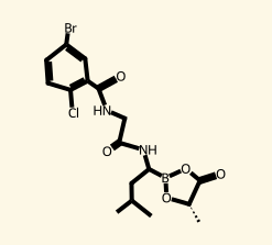 CC(C)CC(NC(=O)CNC(=O)c1cc(Br)ccc1Cl)B1OC(=O)[C@H](C)O1